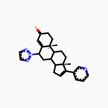 C[C@]12CCC(=O)C=C1C(n1nccn1)CC1C2CC[C@]2(C)C(c3cccnc3)=CCC12